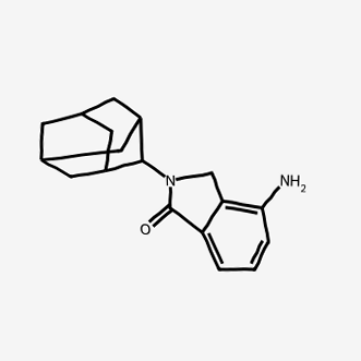 Nc1cccc2c1CN(C1C3CC4CC(C3)CC1C4)C2=O